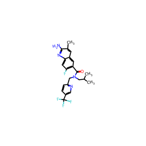 Cc1cc2cc(C(=O)N(Cc3ccc(C(F)(F)F)cn3)CC(C)C)c(F)cc2nc1N